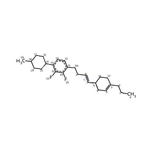 CCCC1=CCC(/C=C/CCc2ccc(C3CCC(C)CC3)c(F)c2F)CC1